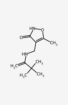 C=C(NCc1c(C)o[nH]c1=O)C(C)(C)C